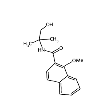 COc1c(C(=O)NC(C)(C)CO)ccc2ccccc12